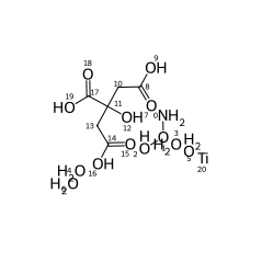 NOO.O.O.O.O.O=C(O)CC(O)(CC(=O)O)C(=O)O.[Ti]